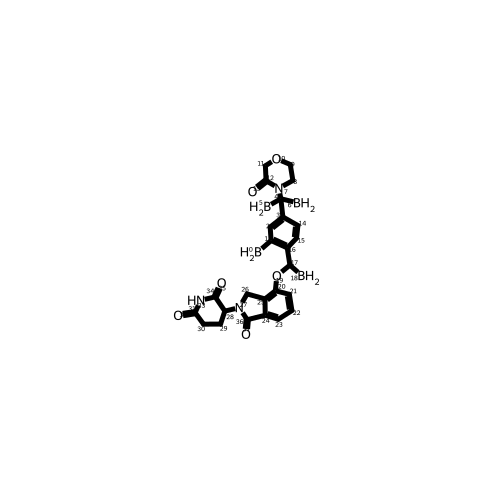 Bc1cc(C(B)(B)N2CCOCC2=O)ccc1C(B)Oc1cccc2c1CN(C1CCC(=O)NC1=O)C2=O